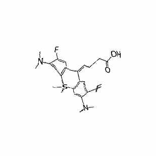 CN(C)c1cc2c(cc1F)C(=CCCC(=O)O)c1cc(F)c(N(C)C)cc1S2(C)C